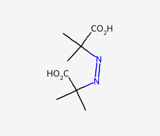 CC(C)(/N=N\C(C)(C)C(=O)O)C(=O)O